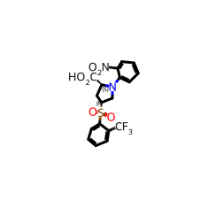 O=C(O)[C@@H]1C[C@@H](S(=O)(=O)c2ccccc2C(F)(F)F)CN1c1ccccc1[N+](=O)[O-]